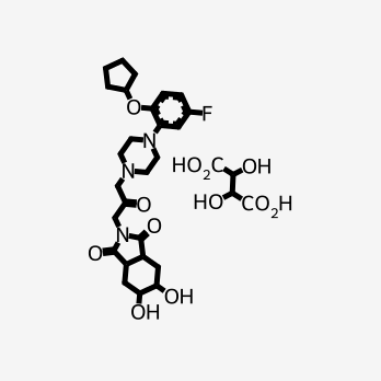 O=C(CN1CCN(c2cc(F)ccc2OC2CCCC2)CC1)CN1C(=O)C2CC(O)C(O)CC2C1=O.O=C(O)C(O)C(O)C(=O)O